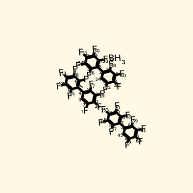 B.Fc1cc(-c2c(F)c(F)c(F)c(F)c2F)c(F)c(F)c1F.Fc1cc(-c2c(F)c(F)c(F)c(F)c2F)c(F)c(F)c1F.Fc1cc(-c2c(F)c(F)c(F)c(F)c2F)c(F)c(F)c1F